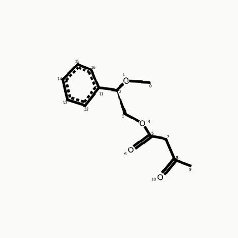 CO[C@@H](COC(=O)CC(C)=O)c1ccccc1